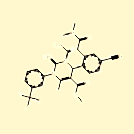 COC(=O)C1=C(C)N(c2cccc(C(F)(F)F)c2)C(=N)N(C(N)=O)C1c1ccc(C#N)cc1CC(=O)N(C)C